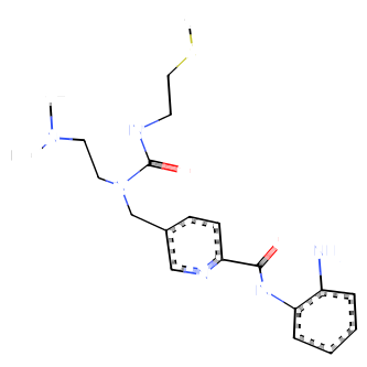 CSCCNC(=O)N(CCN(C)C)Cc1ccc(C(=O)Nc2ccccc2N)nc1